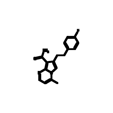 Cc1ccnc2c(C(N)=O)c(CCc3ccc(F)cc3)cn12